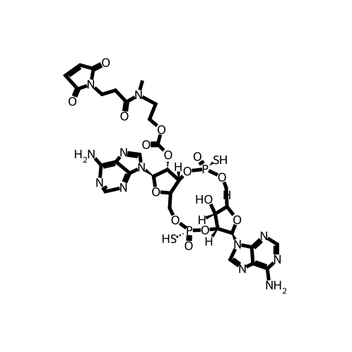 CN(CCOC(=O)O[C@@H]1[C@@H]2O[P@](=O)(S)OC[C@H]3O[C@@H](n4cnc5c(N)ncnc54)[C@H](O[P@](=O)(S)OCC2O[C@H]1n1cnc2c(N)ncnc21)[C@@H]3O)C(=O)CCN1C(=O)C=CC1=O